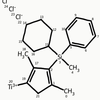 CC1=C([Si](C)(c2ccccc2)C2CCCCC2)C(C)=[C]([Ti+3])C1.[Cl-].[Cl-].[Cl-]